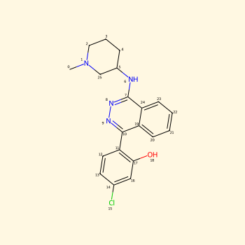 CN1CCCC(Nc2nnc(-c3ccc(Cl)cc3O)c3ccccc23)C1